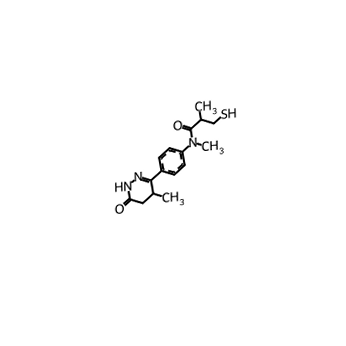 CC(CS)C(=O)N(C)c1ccc(C2=NNC(=O)CC2C)cc1